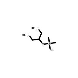 CC(C)(C)[Si](C)(C)OC(CC(=O)O)CC(=O)O